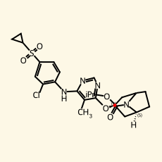 Cc1c(Nc2ccc(S(=O)(=O)C3CC3)cc2Cl)ncnc1O[C@H]1CC2CC[C@@H](C1)N2C(=O)OC(C)C